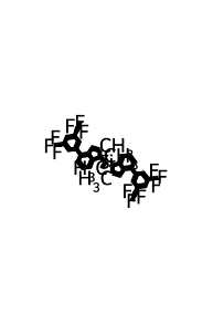 CC1=Cc2c(-c3cc(C(F)(F)F)cc(C(F)(F)F)c3)cccc2C1[Si](C)(C)C1C(C)=Cc2c(-c3cc(C(F)(F)F)cc(C(F)(F)F)c3)cccc21